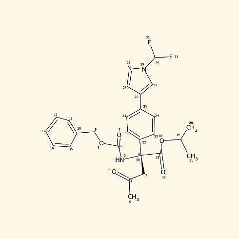 CC(=O)C[C@](NC(=O)OCc1ccccc1)(C(=O)OC(C)C)c1ccc(-c2cnn(C(F)F)c2)cc1